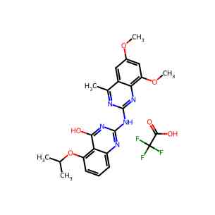 COc1cc(OC)c2nc(Nc3nc(O)c4c(OC(C)C)cccc4n3)nc(C)c2c1.O=C(O)C(F)(F)F